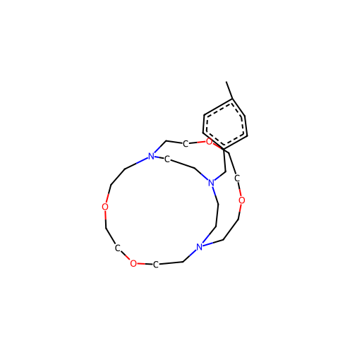 Cc1ccc(CN2CCN3CCOCCOCCN(CCOCCOCC3)CC2)cc1